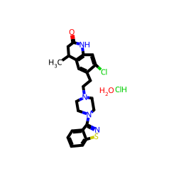 CC1CC(=O)Nc2cc(Cl)c(CCN3CCN(c4nsc5ccccc45)CC3)cc21.Cl.O